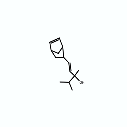 CC(C)C(C)(O)C=CC1CC2C=CC1C2